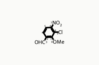 COc1c(C=O)ccc([N+](=O)[O-])c1Cl